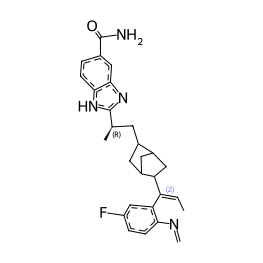 C=Nc1ccc(F)cc1/C(=C\C)C1CC2CC1CC2C[C@@H](C)c1nc2cc(C(N)=O)ccc2[nH]1